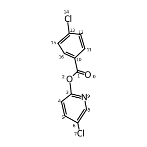 O=C(Oc1c[c]c(Cl)cn1)c1ccc(Cl)cc1